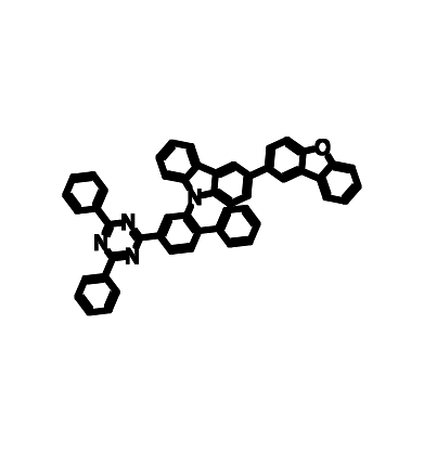 c1ccc(-c2nc(-c3ccccc3)nc(-c3ccc(-c4ccccc4)c(-n4c5ccccc5c5cc(-c6ccc7oc8ccccc8c7c6)ccc54)c3)n2)cc1